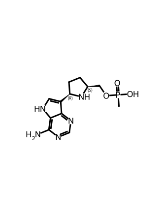 CP(=O)(O)OC[C@@H]1CC[C@H](c2c[nH]c3c(N)ncnc23)N1